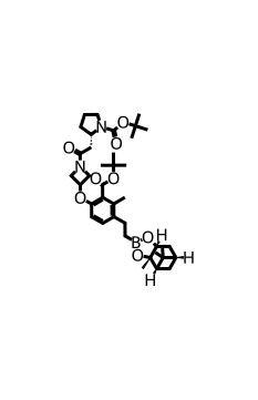 Cc1c(CCB2O[C@@H]3C[C@@H]4C[C@@H](C4(C)C)[C@]3(C)O2)ccc(OC2CN(C(=O)C[C@@H]3CCCN3C(=O)OC(C)(C)C)C2)c1C(=O)OC(C)(C)C